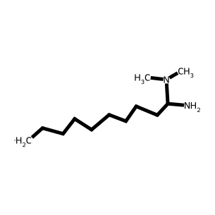 [CH2]CCCCCCCCC(N)N(C)C